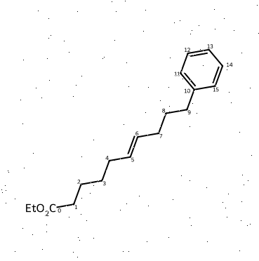 CCOC(=O)CCCC/C=C/CCCc1ccccc1